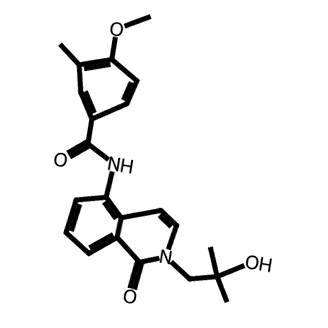 COc1ccc(C(=O)Nc2cccc3c(=O)n(CC(C)(C)O)ccc23)cc1C